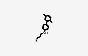 Cc1ccc(C)c(-c2ccc(NCCCBr)cc2)c1